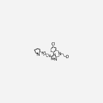 COCCN1Cc2cc(Cl)ccc2-n2c(nnc2N2CC3(CN(c4ccccn4)C3)C2)C1